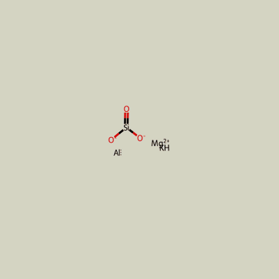 O=[Si]([O-])[O-].[Al].[KH].[Mg+2]